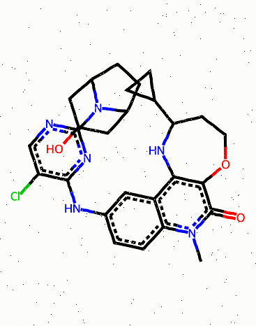 Cn1c(=O)c2c(c3cc(Nc4nc(N5C6CCC5CC(O)C6)ncc4Cl)ccc31)NC(C1CC1)CCO2